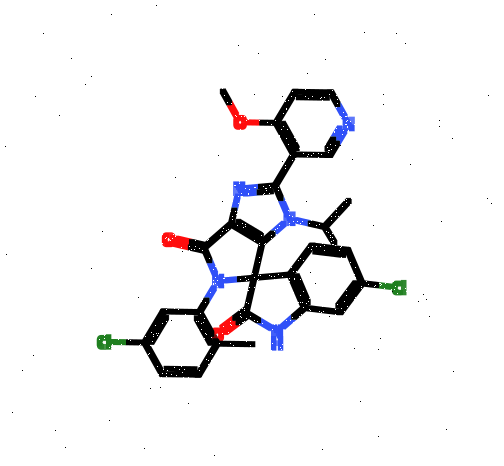 COc1ccncc1-c1nc2c(n1C(C)C)C1(C(=O)Nc3cc(Cl)ccc31)N(c1cc(Cl)ccc1C)C2=O